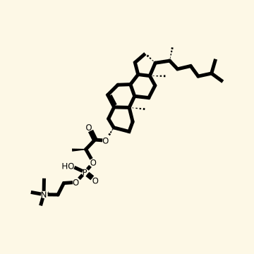 CC(C)CCC[C@@H](C)[C@H]1CCC2C3CC=C4C[C@@H](OC(=O)[C@H](C)OP(=O)(O)OCC[N+](C)(C)C)CC[C@]4(C)C3CC[C@@]21C